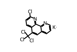 Clc1ccc2c(C(Cl)(Cl)Cl)cc3cccnc3c2n1.[K]